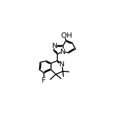 CC1(C)N=C(c2cnc3c(O)cccn23)c2cccc(F)c2C1(C)C